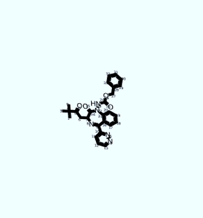 CC(C)(C)C(=O)CC1N=C(c2cccnn2)c2ccccc2N(NC(=O)OCc2ccccc2)C1=O